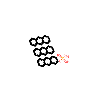 O=P(O)(O)O.c1ccc2cc3ccccc3cc2c1.c1ccc2cc3ccccc3cc2c1.c1ccc2cc3ccccc3cc2c1